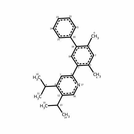 Cc1cc(C)c(-c2cc(C(C)C)c(C(C)C)cn2)cc1-c1ccccc1